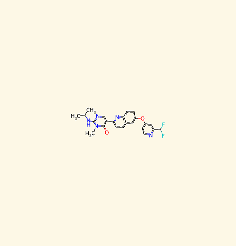 CC(C)Nc1ncc(-c2ccc3cc(Oc4ccnc(C(F)F)c4)ccc3n2)c(=O)n1C